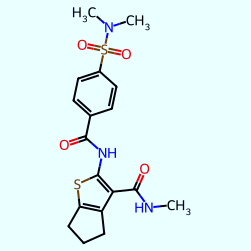 CNC(=O)c1c(NC(=O)c2ccc(S(=O)(=O)N(C)C)cc2)sc2c1CCC2